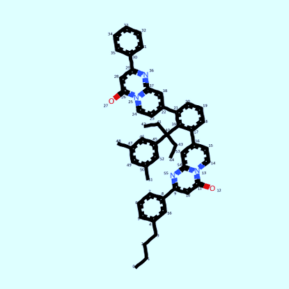 CCCCc1cccc(-c2cc(=O)n3ccc(-c4cccc(-c5ccn6c(=O)cc(-c7ccccc7)nc6c5)c4C(CC)(CC)c4cc(C)cc(C)c4)cc3n2)c1